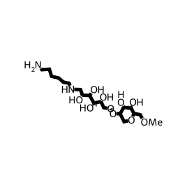 COCC1OCC(OOCC(O)[C@@H](O)C(O)C(O)CNCCCCCCN)C(O)[C@@H]1O